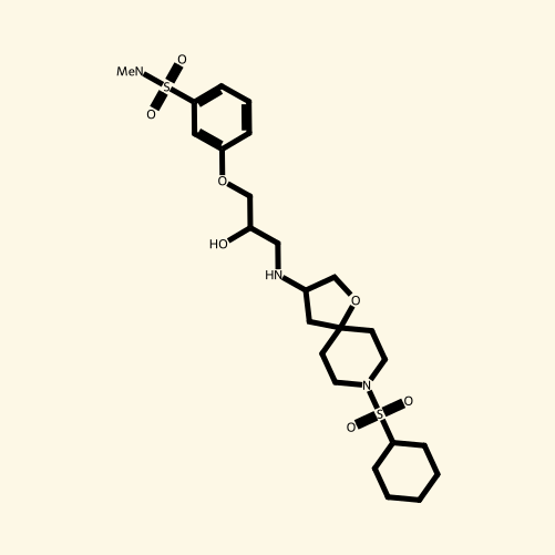 CNS(=O)(=O)c1cccc(OCC(O)CNC2COC3(CCN(S(=O)(=O)C4CCCCC4)CC3)C2)c1